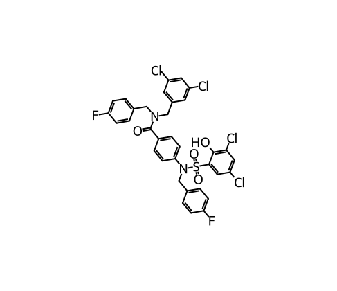 O=C(c1ccc(N(Cc2ccc(F)cc2)S(=O)(=O)c2cc(Cl)cc(Cl)c2O)cc1)N(Cc1ccc(F)cc1)Cc1cc(Cl)cc(Cl)c1